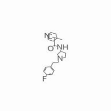 CC12CCN(CC1)CC2C(=O)NC1CCN(CCc2ccc(F)cc2)C1